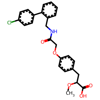 COC(Cc1ccc(OCC(=O)NCc2ccccc2-c2ccc(Cl)cc2)cc1)C(=O)O